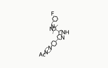 CC(=O)N1CCN(c2ccc(-c3cnc4[nH]cc(-c5c(C)nn(Cc6cccc(F)c6)c5C)c4c3)cc2)CC1